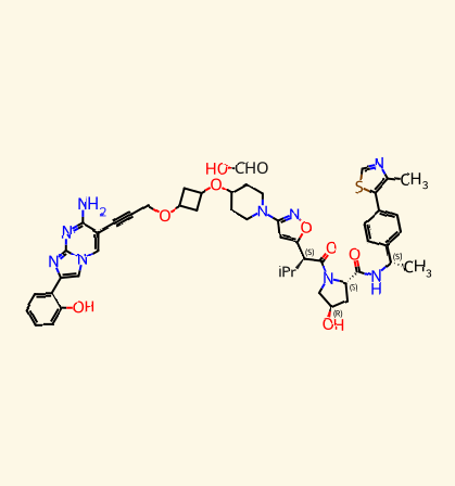 Cc1ncsc1-c1ccc([C@H](C)NC(=O)[C@@H]2C[C@@H](O)CN2C(=O)[C@H](c2cc(N3CCC(OC4CC(OCC#Cc5cn6cc(-c7ccccc7O)nc6nc5N)C4)CC3)no2)C(C)C)cc1.O=CO